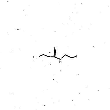 CCCC(=O)NCCI